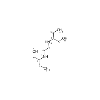 CC[C@H](CO)NCCN[C@@H](CC)CO